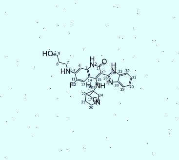 O=c1[nH]c2cc(NCCCO)c(F)cc2c(N[C@H]2CN3CCC2CC3)c1-c1nc2ccccc2[nH]1